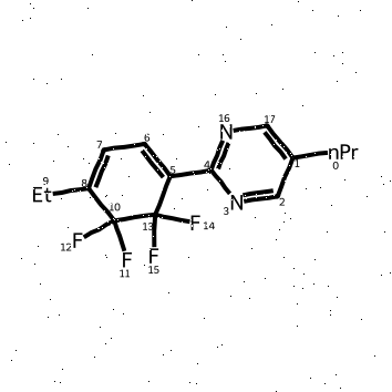 CCCc1cnc(C2=CC=C(CC)C(F)(F)C2(F)F)nc1